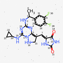 CC(NC1=NC2=C(/C=C3\NC(=O)NC3=O)CNN2C(NC2CC2)=N1)c1ccc(F)c(F)c1